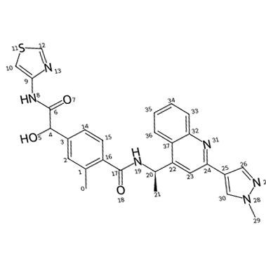 Cc1cc(C(O)C(=O)Nc2cscn2)ccc1C(=O)N[C@H](C)c1cc(-c2cnn(C)c2)nc2ccccc12